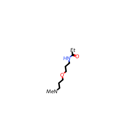 CCC(=O)NCCCOCCCNC